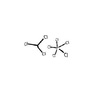 ClC(Cl)Cl.ClP(Cl)(Cl)(Cl)Cl